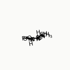 Cc1c(CC(=O)Nc2nnc(CCCCc3ccc(NC(=O)Cc4cccc(OCF)c4)nn3)s2)cnn1C